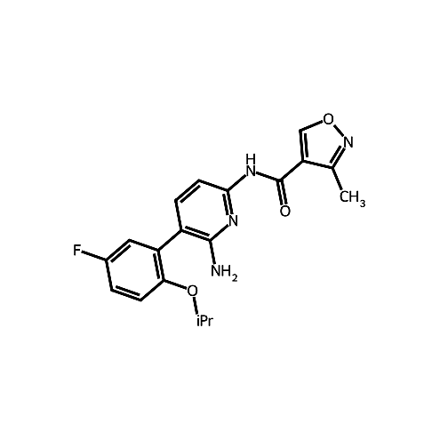 Cc1nocc1C(=O)Nc1ccc(-c2cc(F)ccc2OC(C)C)c(N)n1